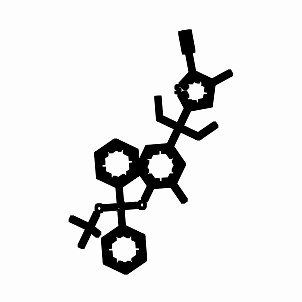 C#Cc1sc(C(CC)(CC)c2ccc(O[Si](OC(C)(C)C)(c3ccccc3)c3ccccc3)c(C)c2)cc1C